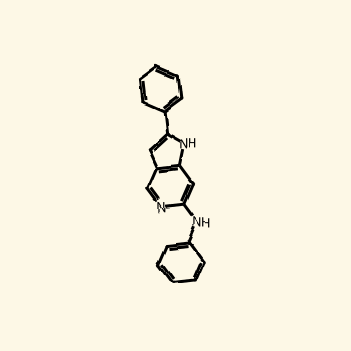 c1ccc(Nc2cc3[nH]c(-c4ccccc4)cc3cn2)cc1